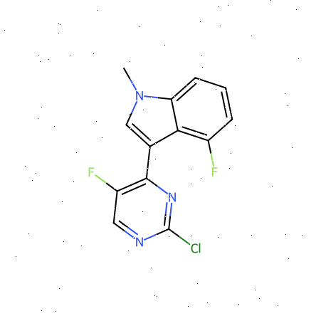 Cn1cc(-c2nc(Cl)ncc2F)c2c(F)cccc21